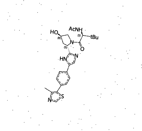 CC(=O)N[C@H](C(=O)N1C[C@H](O)C[C@H]1c1ncc(-c2ccc(-c3scnc3C)cc2)[nH]1)C(C)(C)C